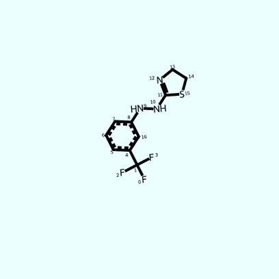 FC(F)(F)c1cccc(NNC2=NCCS2)c1